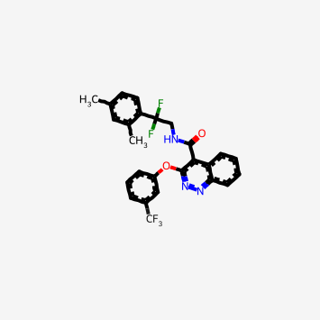 Cc1ccc(C(F)(F)CNC(=O)c2c(Oc3cccc(C(F)(F)F)c3)nnc3ccccc23)c(C)c1